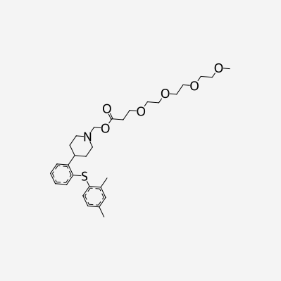 COCCOCCOCCOCCC(=O)OCN1CCC(c2ccccc2Sc2ccc(C)cc2C)CC1